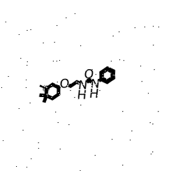 C[C@H]1CC(OCCNC(=O)Nc2ccccc2)CCC1(C)C